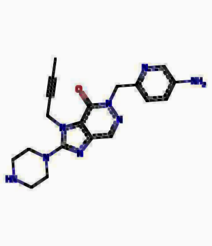 CC#CCn1c(N2CCNCC2)nc2cnn(Cc3ccc(N)cn3)c(=O)c21